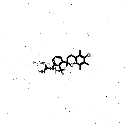 Cc1c(C)c2c(c(C)c1O)CCC(C)(c1[c]ccc(NC(=N)NN)c1C(F)(F)F)O2